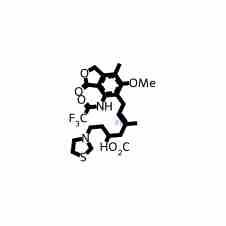 COc1c(C)c2c(c(NC(=O)C(F)(F)F)c1C/C=C(\C)CC(CCN1CCSC1)C(=O)O)C(=O)OC2